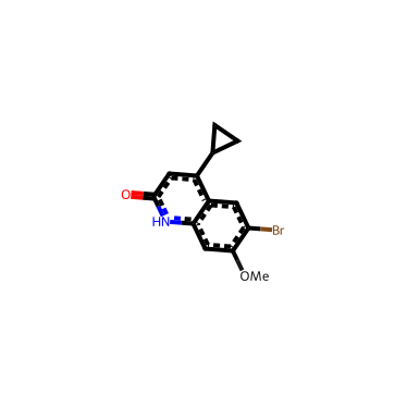 COc1cc2[nH]c(=O)cc(C3CC3)c2cc1Br